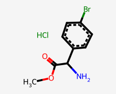 COC(=O)C(N)c1ccc(Br)cc1.Cl